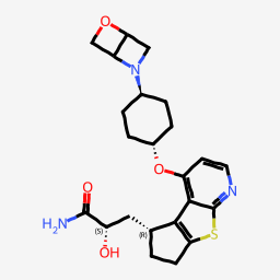 NC(=O)[C@@H](O)C[C@H]1CCc2sc3nccc(O[C@H]4CC[C@H](N5CC6OCC65)CC4)c3c21